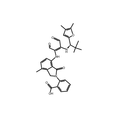 Cc1cc([C@H](N/C(C=O)=C(/C=O)Nc2ccc(C)c3c2C(=O)N(c2ccccc2C(=O)O)C3)C(C)(C)C)oc1C